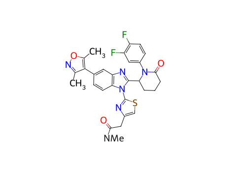 CNC(=O)Cc1csc(-n2c(C3CCCC(=O)N3c3ccc(F)c(F)c3)nc3cc(-c4c(C)noc4C)ccc32)n1